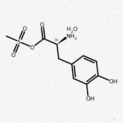 CS(=O)(=O)OC(=O)[C@@H](N)Cc1ccc(O)c(O)c1.O